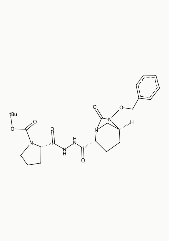 CC(C)(C)OC(=O)N1CCC[C@H]1C(=O)NNC(=O)[C@H]1CC[C@H]2CN1C(=O)N2OCc1ccccc1